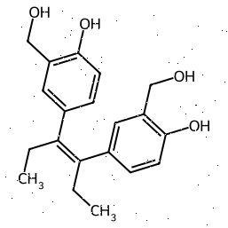 CCC(=C(CC)c1ccc(O)c(CO)c1)c1ccc(O)c(CO)c1